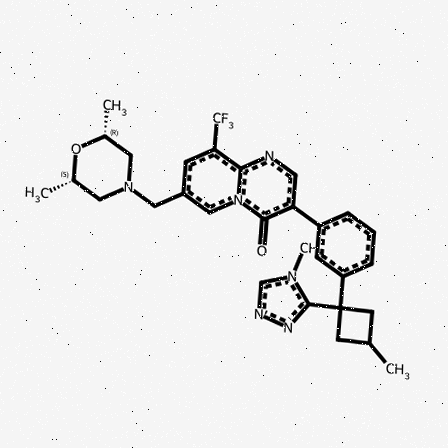 CC1CC(c2cccc(-c3cnc4c(C(F)(F)F)cc(CN5C[C@@H](C)O[C@@H](C)C5)cn4c3=O)c2)(c2nncn2C)C1